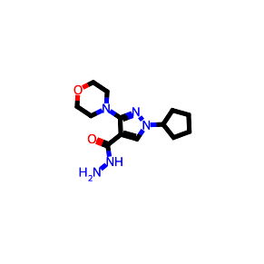 NNC(=O)c1cn(C2CCCC2)nc1N1CCOCC1